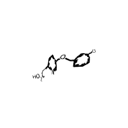 O=C(O)c1ccc(Oc2cccc(Cl)c2)cn1